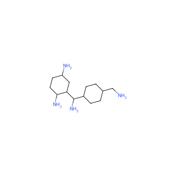 NCC1CCC(C(N)C2CC(N)CCC2N)CC1